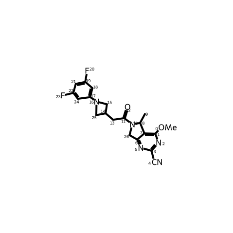 COc1nc(C#N)nc2c1C(C)N(C(=O)CC1CN(c3cc(F)cc(F)c3)C1)C2